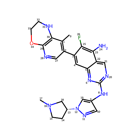 Cc1c(-c2cc3nc(Nc4cnn([C@@H]5CCN(C)C5)c4)ncc3c(N)c2F)cnc2c1NCCO2